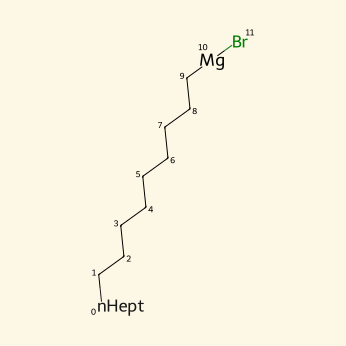 CCCCCCCCCCCCCCC[CH2][Mg][Br]